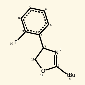 CC(C)(C)C1=NC(c2ccccc2F)CO1